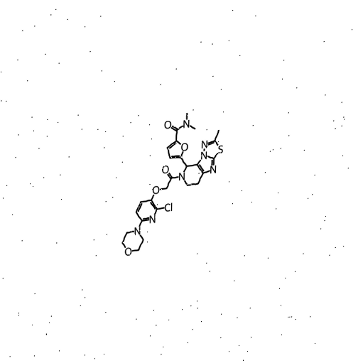 Cc1nn2c3c(nc2s1)CCN(C(=O)COc1ccc(N2CCOCC2)nc1Cl)C3c1ccc(C(=O)N(C)C)o1